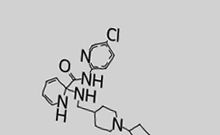 O=C(Nc1ccc(Cl)cn1)C1(NCC2CCN(C3CCCC3)CC2)C=CC=CN1